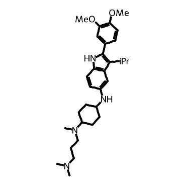 COc1ccc(-c2[nH]c3ccc(NC4CCC(N(C)CCCN(C)C)CC4)cc3c2C(C)C)cc1OC